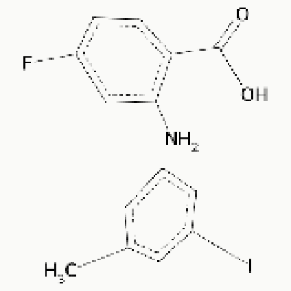 Cc1cccc(I)c1.Nc1cc(F)ccc1C(=O)O